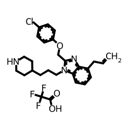 C=CCc1cccc2c1nc(COc1ccc(Cl)cc1)n2CCCC1CCNCC1.O=C(O)C(F)(F)F